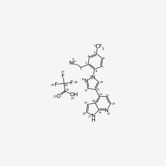 N#CCc1cc(C(F)(F)F)ccc1-n1cc(-c2ccnc3[nH]ccc23)cn1.O=C(O)C(F)(F)F